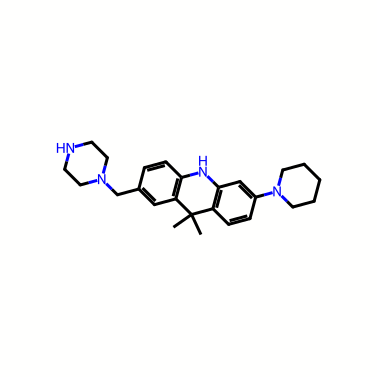 CC1(C)c2ccc(N3CCCCC3)cc2Nc2ccc(CN3CCNCC3)cc21